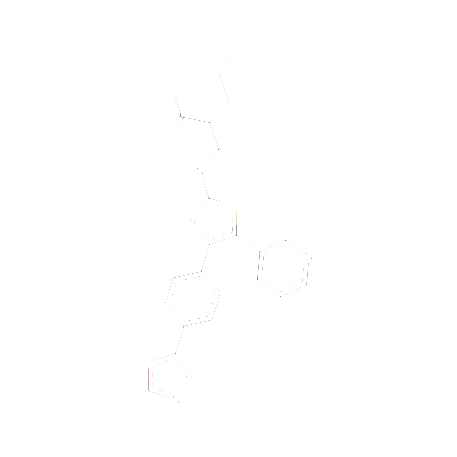 CCCC(CNc1nc(-c2ccc(-c3cnco3)cc2)c(-c2cccnc2)s1)C(=O)O